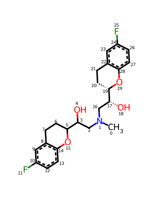 CN(CC(O)C1CCc2cc(F)ccc2O1)C[C@@H](O)[C@@H]1CCc2cc(F)ccc2O1